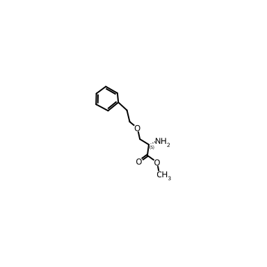 COC(=O)[C@@H](N)COCCc1ccccc1